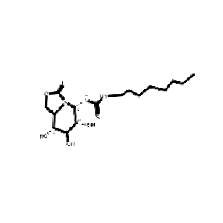 CCCCCCCCNC(=S)N[C@@H]1[C@H](O)C(O)[C@H](O)C2COC(=O)N21